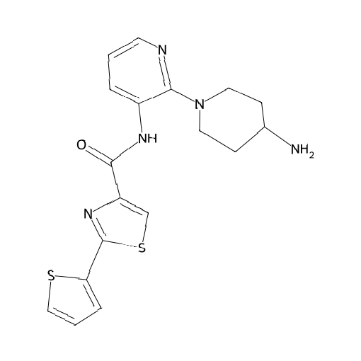 NC1CCN(c2ncccc2NC(=O)c2csc(-c3cccs3)n2)CC1